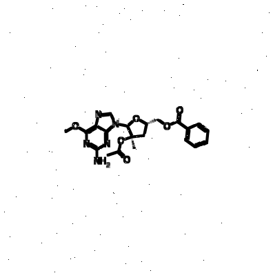 COc1nc(N)nc2c1ncn2C1O[C@H](COC(=O)c2ccccc2)C[C@@]1(C)OC(C)=O